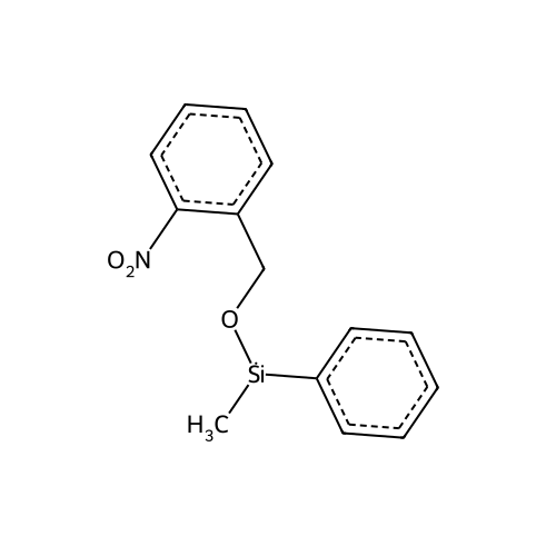 C[Si](OCc1ccccc1[N+](=O)[O-])c1ccccc1